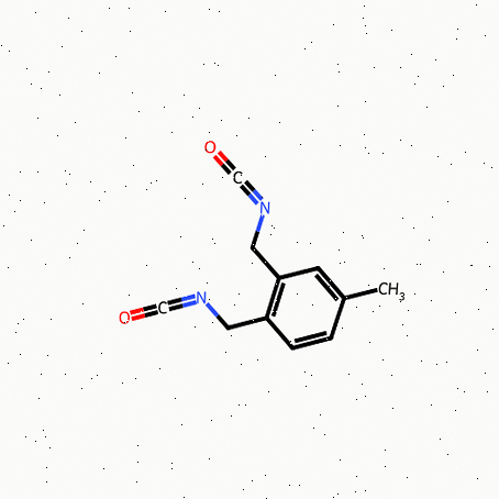 Cc1ccc(CN=C=O)c(CN=C=O)c1